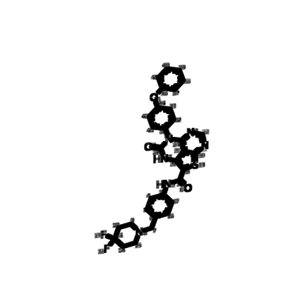 O=C(Nc1ccc(CN2CCC(F)(F)CC2)cc1)c1sc2ncnc3c2c1NC(=O)N3c1ccc(Oc2ccccc2)cc1